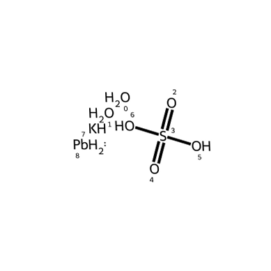 O.O.O=S(=O)(O)O.[KH].[PbH2]